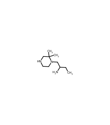 CCC(N)CN1CCNCC1(C)C